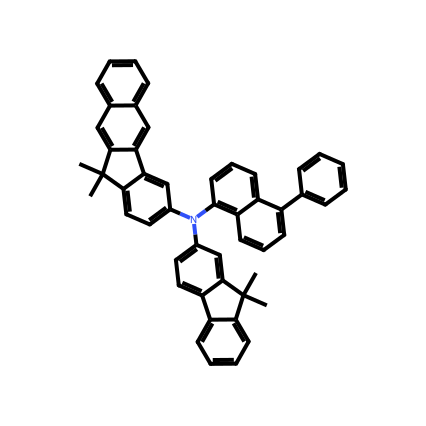 CC1(C)c2ccccc2-c2ccc(N(c3ccc4c(c3)-c3cc5ccccc5cc3C4(C)C)c3cccc4c(-c5ccccc5)cccc34)cc21